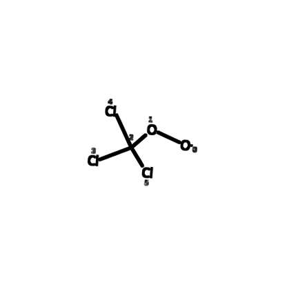 [O]OC(Cl)(Cl)Cl